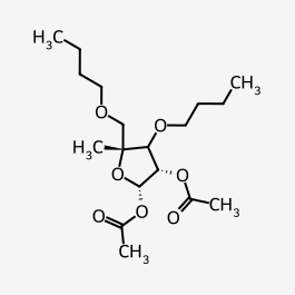 CCCCOC[C@@]1(C)O[C@@H](OC(C)=O)[C@@H](OC(C)=O)C1OCCCC